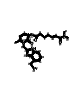 Cc1ccc(NC(=O)[CH]CC/C=C/C(=O)N(C)C)c(=O)n1Cc1nc2c(CC(C)C)cccc2[nH]1